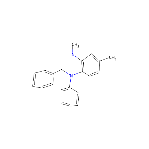 C=Nc1cc(C)ccc1N(Cc1ccccc1)c1ccccc1